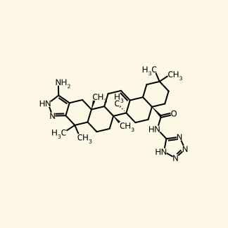 CC1(C)CC[C@]2(C(=O)Nc3nnn[nH]3)CC[C@]3(C)C(=CCC4[C@@]5(C)Cc6c(n[nH]c6N)C(C)(C)C5CC[C@]43C)C2C1